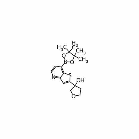 CC1(C)OB(c2ccnc3cc(C4(O)CCOC4)sc23)OC1(C)C